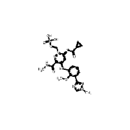 CNC(=O)c1nn(COP(=O)(O)O)/c(=N/C(=O)C2CC2)cc1Nc1cccc(-c2ncn(C)n2)c1OC